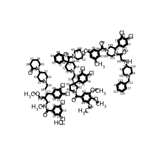 CON=C(CN(C)C(=O)c1cc(Cl)cc(Cl)c1)[C@H](CCN1CCC(N2CCCCC2=O)CC1)c1ccc(Cl)c(Cl)c1.COc1cc(C(=O)N2CC[C@](CCN3CCC(C(=O)N4CCOCC4)(c4ccccc4)CC3)(c3ccc(Cl)c(Cl)c3)C2)cc(OC)c1OC.Cc1cc(C)cc(C(=O)N2CCN(C(=O)CNC3CCN(Cc4ccccc4)CC3)C(c3ccc(Cl)c(Cl)c3)C2)c1.Cl